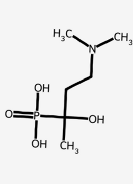 CN(C)CCC(C)(O)P(=O)(O)O